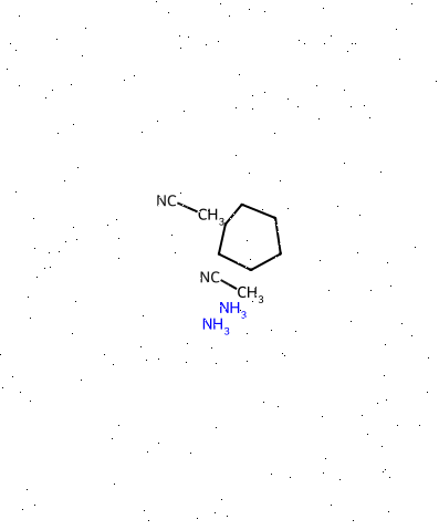 C1CCCCC1.CC#N.CC#N.N.N